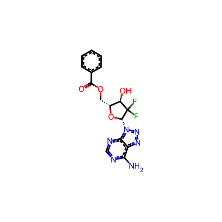 Nc1ncnc2c1nnn2[C@@H]1O[C@H](COC(=O)c2ccccc2)[C@@H](O)C1(F)F